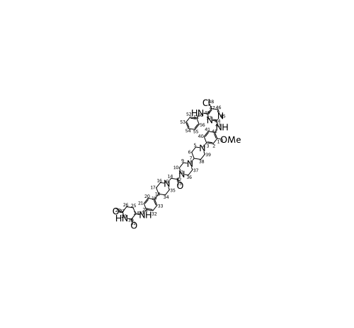 COc1cc(N2CCC(N3CCN(C(=O)CN4CCC(c5ccc(NC6CCC(=O)NC6=O)cc5)CC4)CC3)CC2)ccc1Nc1ncc(Cl)c(Nc2ccccc2)n1